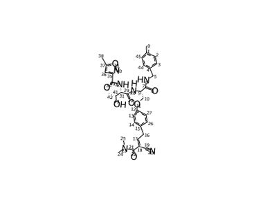 Cc1ccc(CNC(=O)[C@H](COc2ccc(C/C=C(\C#N)C(=O)N(C)C)cc2)NC(=O)[C@@H](NC(=O)c2cc(C)on2)[C@@H](C)O)cc1